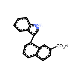 O=C(O)c1ccc2cccc(-c3c[nH]c4ccccc34)c2c1